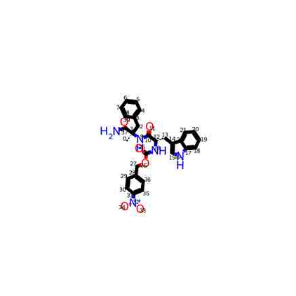 C[C@](Cc1ccccc1)(NC(=O)[C@H](Cc1c[nH]c2ccccc12)NC(=O)OCc1ccc([N+](=O)[O-])cc1)C(N)=O